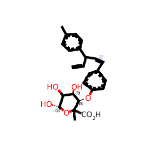 C=CC(/C=C\c1ccc(O[C@H]2[C@H](O)C(O)[C@@H](O)OC2(C)C(=O)O)cc1)c1ccc(C)cc1